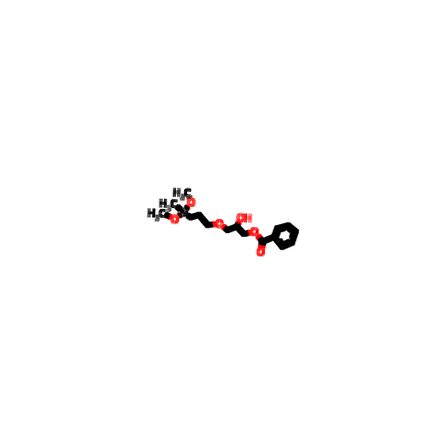 CO[Si](C)(CCCOCC(O)COC(=O)c1ccccc1)OC